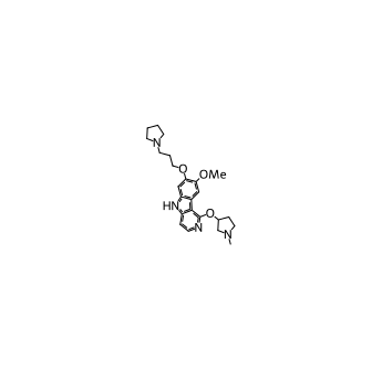 COc1cc2c(cc1OCCCN1CCCC1)[nH]c1ccnc(OC3CCN(C)C3)c12